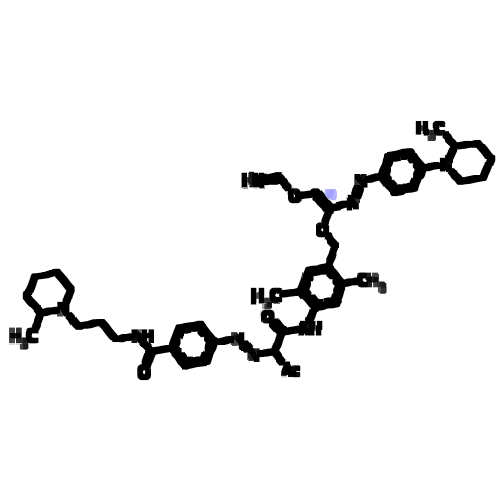 CC(=O)C(N=Nc1ccc(C(=O)NCCCN2CCCCC2C)cc1)C(=O)Nc1cc(C)c(CO/C(=C\OC=N)N=Nc2ccc(N3CCCCC3C)cc2)cc1C